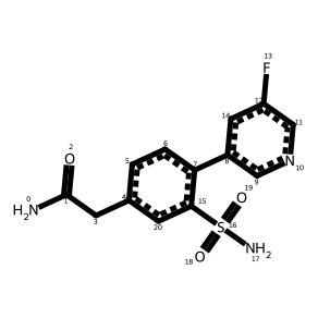 NC(=O)Cc1ccc(-c2cncc(F)c2)c(S(N)(=O)=O)c1